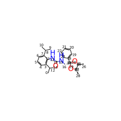 CC(C)c1cccc(C(C)C)c1NC(=O)NC[C@]1(c2ccccc2)O[C@@H](C)[C@@H](C)O1